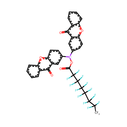 O=C(O[I+](c1ccc2oc3ccccc3c(=O)c2c1)c1ccc2oc3ccccc3c(=O)c2c1)C(F)(F)C(F)(F)C(F)(F)C(F)(F)C(F)(F)C(F)(F)C(F)(F)F